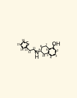 Oc1cccc2c1CC[C@H](NCCc1cccs1)C2